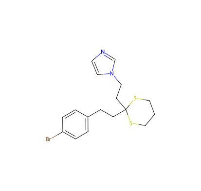 Brc1ccc(CCC2(CCn3ccnc3)SCCCS2)cc1